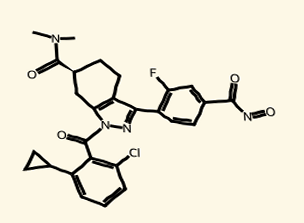 CN(C)C(=O)[C@H]1CCc2c(-c3ccc(C(=O)N=O)cc3F)nn(C(=O)c3c(Cl)cccc3C3CC3)c2C1